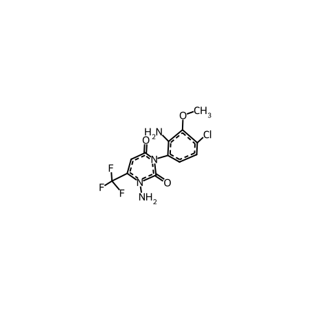 COc1c(Cl)ccc(-n2c(=O)cc(C(F)(F)F)n(N)c2=O)c1N